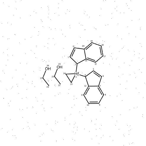 C1=C[CH]([Hf]2([CH]3C=Cc4ccccc43)[CH2][CH2]2)c2ccccc21.CCO.CCO